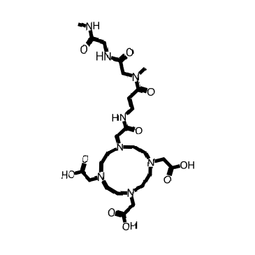 CNC(=O)CNC(=O)CN(C)C(=O)CCNC(=O)CN1CCN(CC(=O)O)CCN(CC(=O)O)CCN(CC(=O)O)CC1